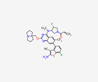 C=CC(=O)N1CC(F)C(N(C)c2nc(OCC34CCCN3CCC4)nc3cc(-c4ccc(F)c5sc(N)c(C#N)c45)c(C(F)(F)F)cc23)C1